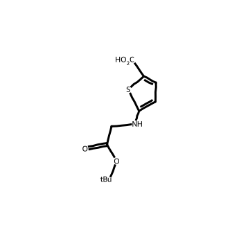 CC(C)(C)OC(=O)CNc1ccc(C(=O)O)s1